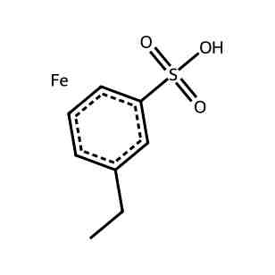 CCc1cccc(S(=O)(=O)O)c1.[Fe]